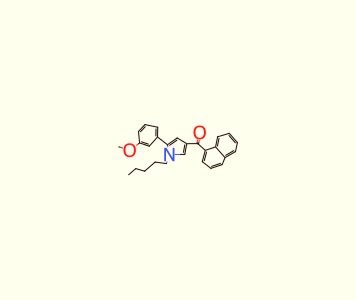 CCCCCn1cc(C(=O)c2cccc3ccccc23)cc1-c1cccc(OC)c1